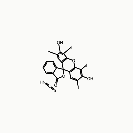 N=C=S.O=C1OC2(c3ccccc31)c1cc(I)c(O)c(I)c1Oc1c2cc(I)c(O)c1I